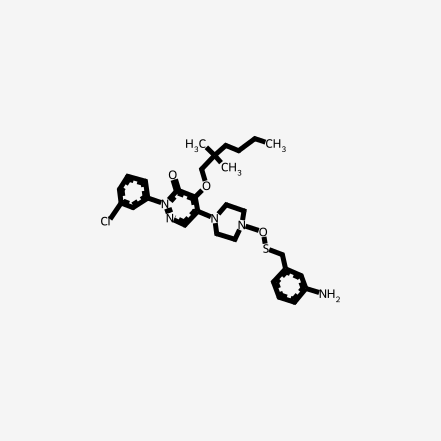 CCCCC(C)(C)COc1c(N2CCN(OSCc3cccc(N)c3)CC2)cnn(-c2cccc(Cl)c2)c1=O